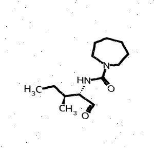 CC[C@H](C)[C@@H]([C]=O)NC(=O)N1CCCCCC1